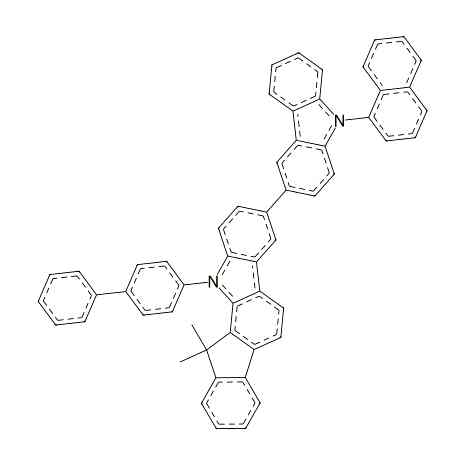 CC1(C)c2ccccc2-c2ccc3c4cc(-c5ccc6c(c5)c5ccccc5n6-c5cccc6ccccc56)ccc4n(-c4ccc(-c5ccccc5)cc4)c3c21